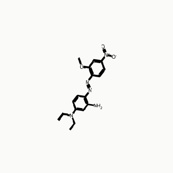 CCN(CC)c1ccc(N=Nc2ccc([N+](=O)[O-])cc2OC)c(N)c1